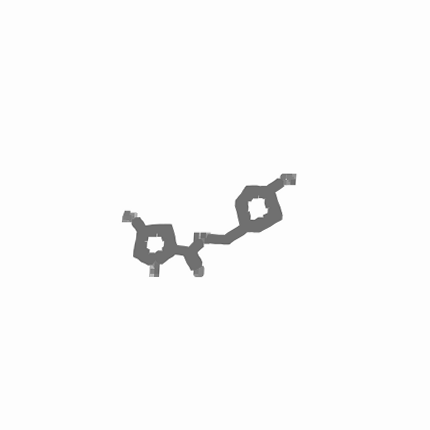 CC(=O)c1c[nH]c(C(=O)NCc2ccc(C#N)cc2)c1